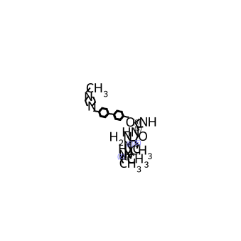 C/C=N\N(C)C(C)/N=C(N)\C(=C/C)C(=O)N[C@H]1CNC[C@@H]1OCc1ccc(-c2ccc(CN3CCN(CC)CC3)cc2)cc1